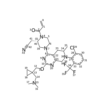 C=CC(=O)N1CCN(c2nc(OCC3(CN(C)C)CC3)nc3c2CC(C)N(c2c(Cl)cccc2C(F)(F)F)C3)C[C@@H]1CC#N